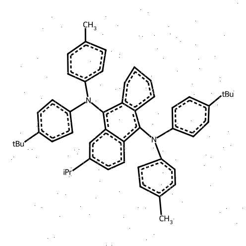 Cc1ccc(N(c2ccc(C(C)(C)C)cc2)c2c3ccccc3c(N(c3ccc(C)cc3)c3ccc(C(C)(C)C)cc3)c3cc(C(C)C)ccc23)cc1